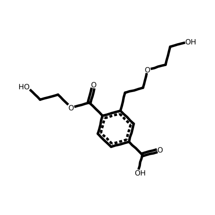 O=C(O)c1ccc(C(=O)OCCO)c(CCOCCO)c1